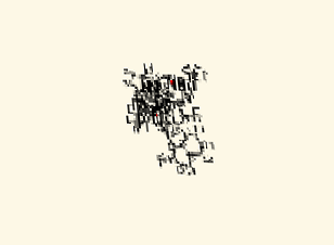 CCSc1nc2c3c(nc(-c4cccc5ccc(F)c(C#C[Si](C(C)C)(C(C)C)C(C)C)c45)c(F)c3n1)O[C@@H](CC)[C@@H]1[C@@H]3CC[C@H](CN21)N3C(=O)OC(C)(C)C